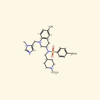 CC(=O)Nc1ccc(S(=O)(=O)N(CC2CCN(C(=O)O)CC2)C2Cc3cc(C#N)ccc3N(Cc3cncn3C)C2)cc1